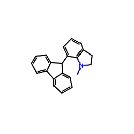 CN1CCc2cccc(C3c4ccccc4-c4ccccc43)c21